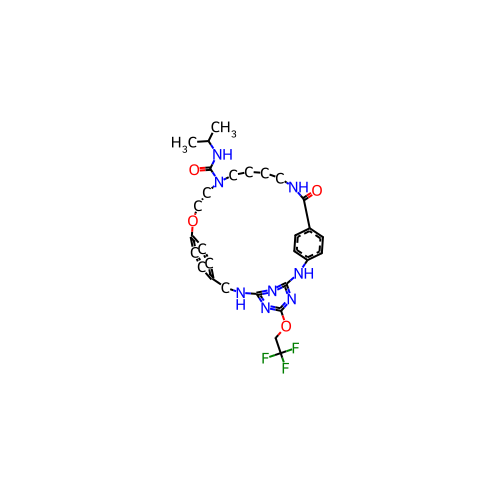 CC(C)NC(=O)N1CCCCNC(=O)c2ccc(cc2)Nc2nc(nc(OCC(F)(F)F)n2)NCc2ccc(cc2)OCC1